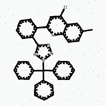 Cc1ccc2nc(-c3ccccc3-c3nnn(C(c4ccccc4)(c4ccccc4)c4ccccc4)n3)cc(Cl)c2c1